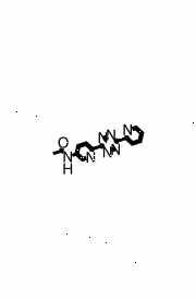 CC(=O)Nc1ccc(-c2nnc(-c3ccccn3)nn2)nc1